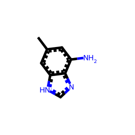 Cc1cc(N)c2nc[nH]c2c1